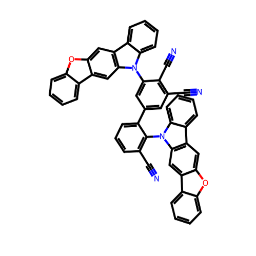 N#Cc1cc(-c2cccc(C#N)c2-n2c3ccccc3c3cc4oc5ccccc5c4cc32)cc(-n2c3ccccc3c3cc4oc5ccccc5c4cc32)c1C#N